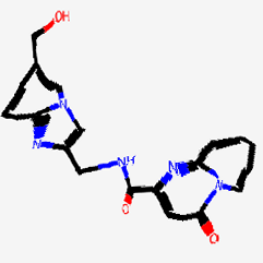 O=C(NCc1cn2cc(CO)ccc2n1)c1cc(=O)n2ccccc2n1